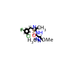 COc1cc(C(=O)Nc2sc(Cc3cc(F)cc(Cl)c3)nc2C)n(C)n1